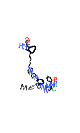 COc1cc(N2CCC(N3CCN(CCCC=Cc4cccc5c4CNC5=C=O)CC3)CC2)ccc1Nc1ncc(Cl)c(Nc2ccccc2P(C)(C)=O)n1